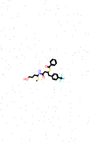 CSC(CCCO)NC(=O)CC(Cc1ccc(C(F)(F)F)cc1)SC(=O)c1ccccc1